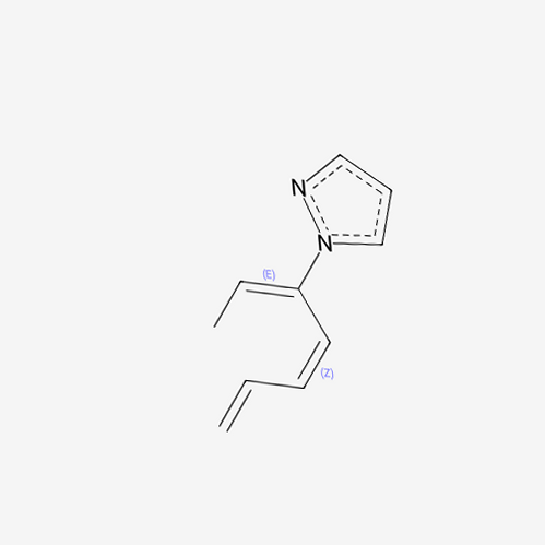 C=C/C=C\C(=C/C)n1cccn1